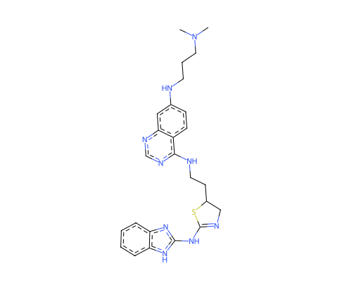 CN(C)CCCNc1ccc2c(NCCC3CN=C(Nc4nc5ccccc5[nH]4)S3)ncnc2c1